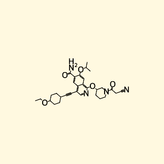 CCOC1CCC(C#Cc2cnc(OC3CCCN(C(=O)CC#N)C3)c3cc(OC(C)C)c(C(N)=O)cc23)CC1